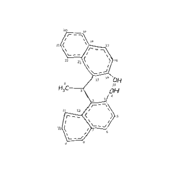 CC(c1c(O)ccc2ccccc12)c1c(O)ccc2ccccc12